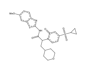 COc1ccc2nc(NC(=O)C(CC3CCOCC3)n3ccc(S(=O)(=O)C4CC4)cc3=O)sc2c1